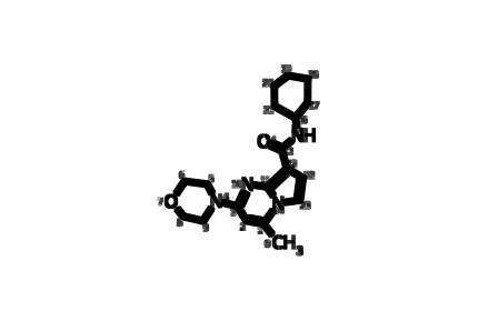 Cc1cc(N2CCOCC2)nc2c(C(=O)NC3CCCCC3)ccn12